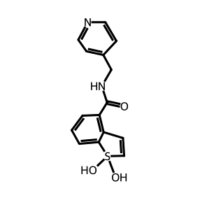 O=C(NCc1ccncc1)c1cccc2c1C=CS2(O)O